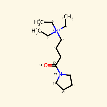 CC[N+](CC)(CC)CCCC(=O)N1CCCC1